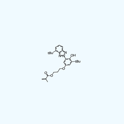 C=C(C)C(=O)OCCCOc1cc(-n2nc3cccc(C(C)(C)C)c3n2)c(O)c(C(C)(C)C)c1